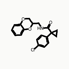 O=C(NCC1COc2ccccc2O1)C1(c2ccc(Cl)cc2)CC1